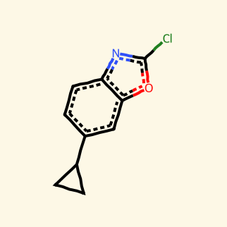 Clc1nc2ccc(C3CC3)cc2o1